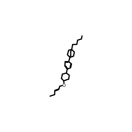 CC/C=C/COC1CCC(c2ccc(C34CCC(CCCCC)(CC3)CC4)cc2)CC1